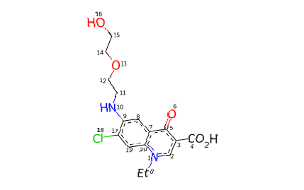 CCn1cc(C(=O)O)c(=O)c2cc(NCCOCCO)c(Cl)cc21